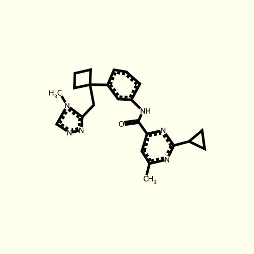 Cc1cc(C(=O)Nc2cccc(C3(Cc4nncn4C)CCC3)c2)nc(C2CC2)n1